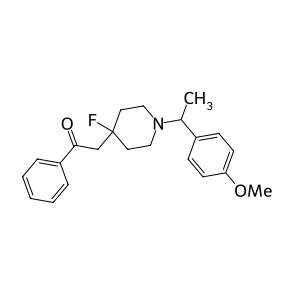 COc1ccc(C(C)N2CCC(F)(CC(=O)c3ccccc3)CC2)cc1